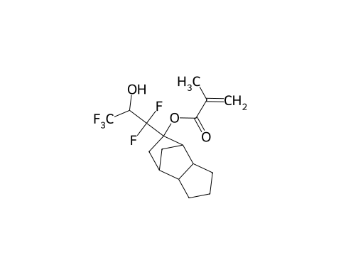 C=C(C)C(=O)OC1(C(F)(F)C(O)C(F)(F)F)CC2CC1C1CCCC21